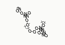 Cc1cc2c(cc1-c1ccc(-c3nc(-c4ccccc4)nc(-c4ccc(-c5cccc6cccnc56)cc4)n3)cc1)C(C)(C)CCC2(C)c1cccc(-c2cccc(-c3cccc(-c4nc(-c5ccc6c(c5)C(C)(C)CC6(C)C)nc(-c5nc6ccccc6nc5-c5ccccc5)n4)c3)c2)c1